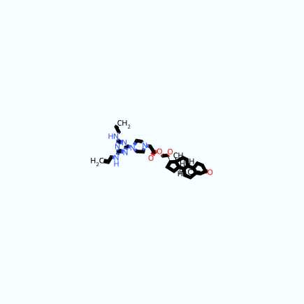 C=CCNc1nc(NCC=C)nc(N2CCN(CC(=O)OCC(=O)[C@H]3CC[C@H]4[C@@H]5CCC6=CC(=O)CC[C@]6(C)[C@H]5CC[C@]34C)CC2)n1